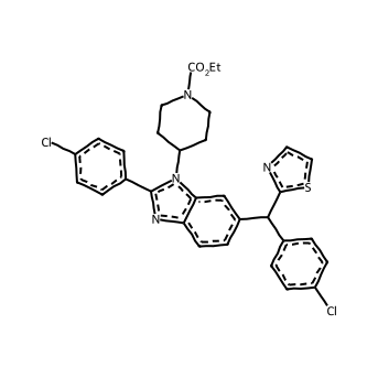 CCOC(=O)N1CCC(n2c(-c3ccc(Cl)cc3)nc3ccc(C(c4ccc(Cl)cc4)c4nccs4)cc32)CC1